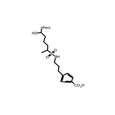 CCCCCC(O)CCCC(C)S(=O)(=O)NCCCc1ccc(C(=O)O)cc1